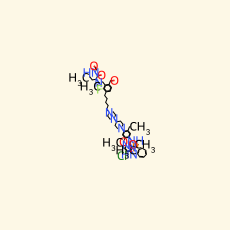 CCCC(C(=O)NC=O)N(C)Cc1c(C=O)ccc(CCCCCN2CCN(C3CCN(c4cc(OC)c(Nc5ncc(Cl)c(NC6=C(P(C)(C)=O)CC=CC=C6)n5)cc4CC)CC3)CC2)c1F